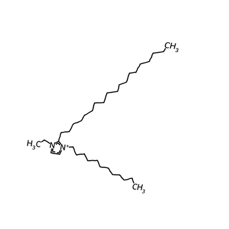 CCCCCCCCCCCCCCCCCCCc1n(CC)cc[n+]1CCCCCCCCCCCC